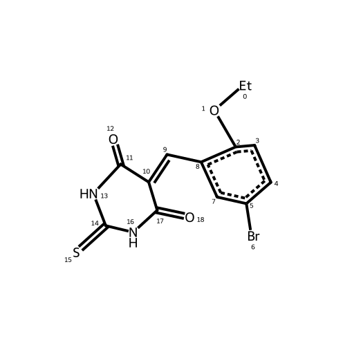 CCOc1ccc(Br)cc1C=C1C(=O)NC(=S)NC1=O